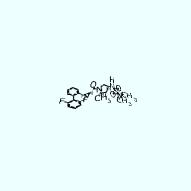 C[C@H]1C[C@H](NS(=O)(=O)N(C)C)CN1C(=O)[C@@H]1C[C@H]1c1ccccc1-c1c(F)cccc1F